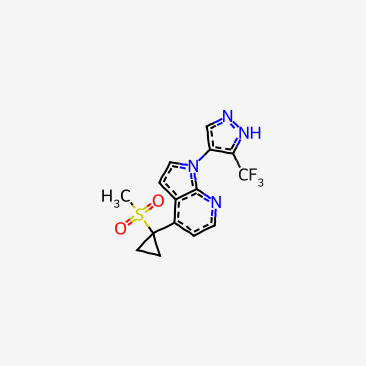 CS(=O)(=O)C1(c2ccnc3c2ccn3-c2cn[nH]c2C(F)(F)F)CC1